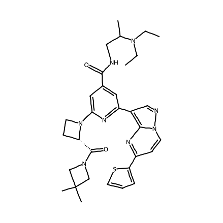 CCN(CC)C(C)CNC(=O)c1cc(-c2cnn3ccc(-c4cccs4)nc23)nc(N2CC[C@H]2C(=O)N2CC(C)(C)C2)c1